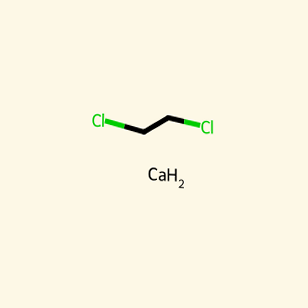 ClCCCl.[CaH2]